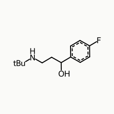 CC(C)(C)NCCC(O)c1ccc(F)cc1